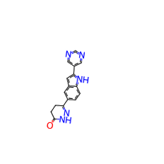 O=C1CCC(c2ccc3[nH]c(-c4cncnc4)cc3c2)=NN1